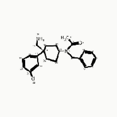 CC(=O)N(Cc1ccccc1)[C@H]1CC[C@@](CN)(c2cccc(Cl)c2)CC1